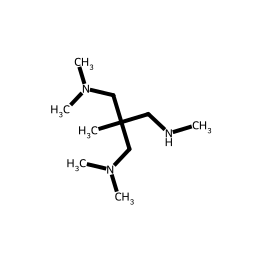 CNCC(C)(CN(C)C)CN(C)C